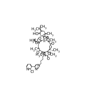 C=C[C@]12OC(=O)N(CCCCn3cnc(-c4cccnc4Cl)c3)[C@@H]1[C@@H](C)C(=O)[C@H](C)C[C@](C)(OC)[C@H](OC1O[C@H](C)C[C@H](N(C)C)[C@H]1O)[C@@H](C)C(=O)[C@@H](C)C(=O)O[C@@H]2CC